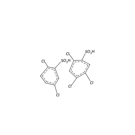 O=S(=O)(O)c1cc(Cl)c(Cl)cc1Cl.O=S(=O)(O)c1cc(Cl)ccc1Cl